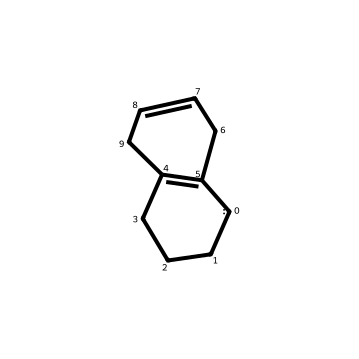 [C]1CCCC2=C1CC=CC2